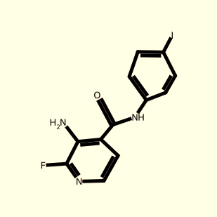 Nc1c(C(=O)Nc2ccc(I)cc2)ccnc1F